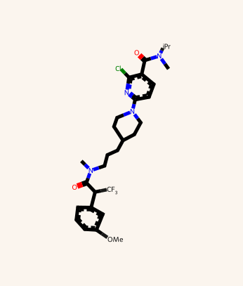 COc1cccc(C(C(=O)N(C)CCCC2CCN(c3ccc(C(=O)N(C)C(C)C)c(Cl)n3)CC2)C(F)(F)F)c1